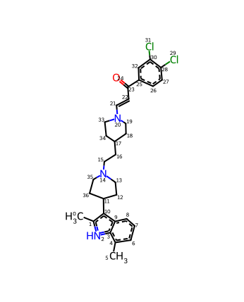 Cc1[nH]c2c(C)cccc2c1C1CCN(CCC2CCN(/C=C/C(=O)c3ccc(Cl)c(Cl)c3)CC2)CC1